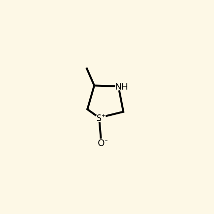 CC1C[S+]([O-])CN1